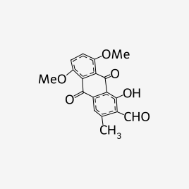 COc1ccc(OC)c2c1C(=O)c1cc(C)c(C=O)c(O)c1C2=O